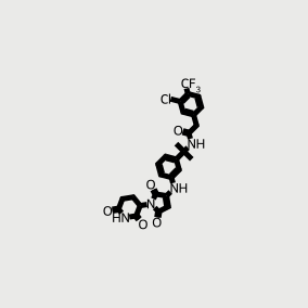 CC(C)(NC(=O)Cc1ccc(C(F)(F)F)c(Cl)c1)c1cccc(NC2=CC(=O)N(C3CCC(=O)NC3=O)C2=O)c1